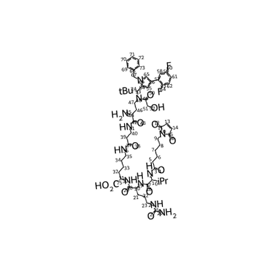 CC(C)C(NC(=O)CCCCCN1C(=O)C=CC1=O)C(=O)N[C@@H](CCCNC(N)=O)C(=O)N[C@@H](CCCCNC(=O)CCNC(=O)[C@@H](N)CCN(C(=O)CO)[C@@H](c1cc(-c2cc(F)ccc2F)cn1Cc1ccccc1)C(C)(C)C)C(=O)O